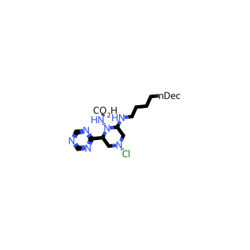 CCCCCCCCCCCCCCNC1CN(Cl)CC(c2ncncn2)N1NC(=O)O